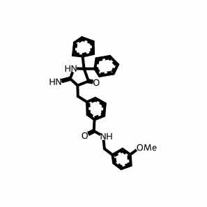 COc1cccc(CNC(=O)c2cccc(CC3C(=N)NC(c4ccccc4)(c4ccccc4)C3=O)c2)c1